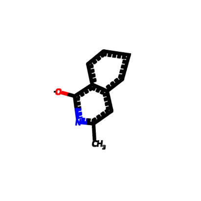 Cc1cc2ccccc2c([O])n1